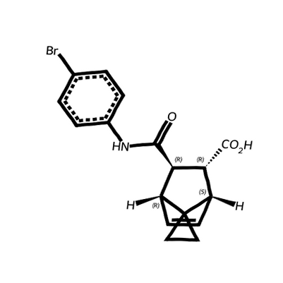 O=C(Nc1ccc(Br)cc1)[C@H]1[C@H](C(=O)O)[C@@H]2C=C[C@H]1C21CC1